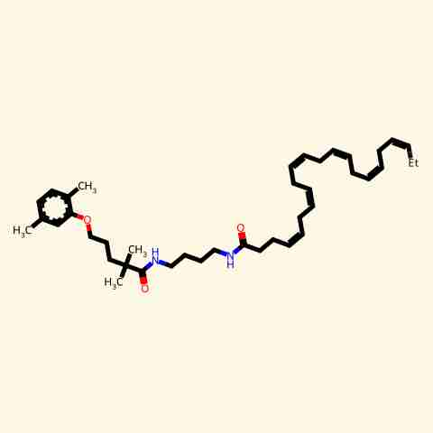 CC/C=C\C/C=C\C/C=C\C/C=C\C/C=C\C/C=C\CCC(=O)NCCCCNC(=O)C(C)(C)CCCOc1cc(C)ccc1C